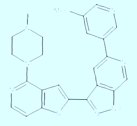 COc1cncc(-c2cc3c(-c4cc5c(N6CCN(C)CC6)nccc5[nH]4)n[nH]c3cn2)c1